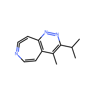 Cc1c(C(C)C)nnc2c1C=CN=C=C2